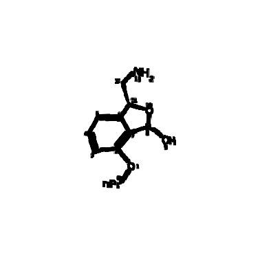 CCCOc1cccc2c1B(O)O[C@@H]2CN